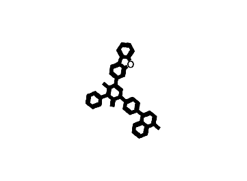 C=C1C(c2ccccc2)=C(C)C(c2ccc3c(c2)oc2ccccc23)=CC1c1ccc(-c2ccc(C)c3ccccc23)cc1